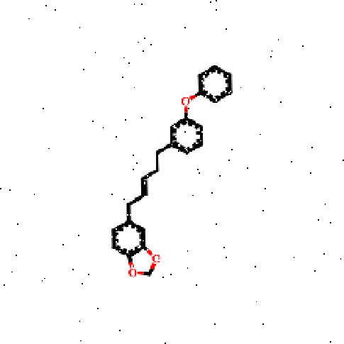 C(=CCc1ccc2c(c1)OCO2)CCc1cccc(Oc2ccccc2)c1